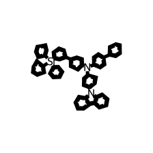 c1ccc(-c2ccc(N(c3ccc(-c4cccc([Si](c5ccccc5)(c5ccccc5)c5ccccc5)c4)cc3)c3ccc(-n4c5ccccc5c5ccccc54)cc3)cc2)cc1